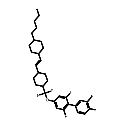 CCCCCC1CCC(/C=C/C2CCC(C(F)(F)Oc3cc(F)c(-c4ccc(F)c(F)c4)c(F)c3)CC2)CC1